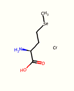 C[Se]CC[C@H](N)C(=O)O.[Cr]